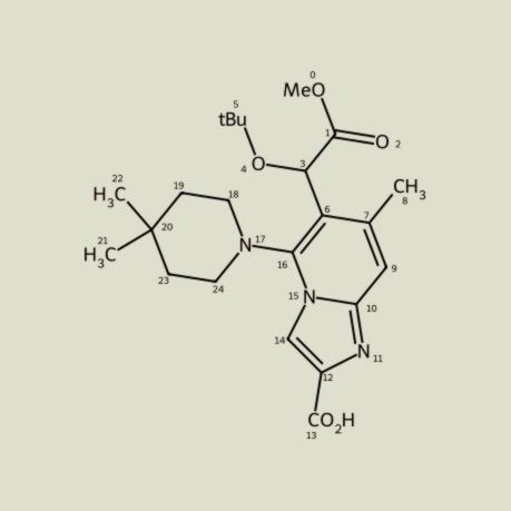 COC(=O)C(OC(C)(C)C)c1c(C)cc2nc(C(=O)O)cn2c1N1CCC(C)(C)CC1